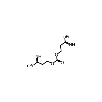 CCCC(=N)CCOC(=O)OCCC(=N)CCC